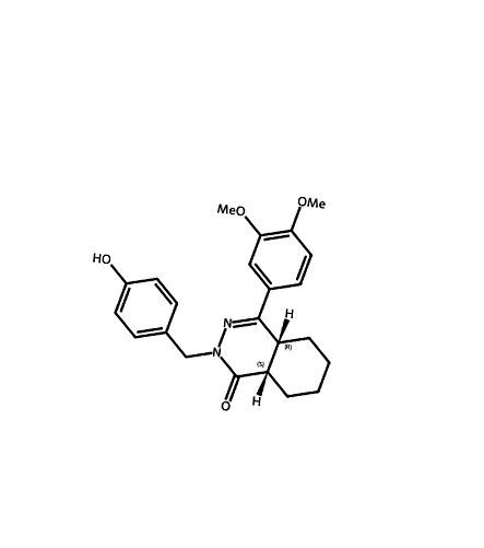 COc1ccc(C2=NN(Cc3ccc(O)cc3)C(=O)[C@H]3CCCC[C@@H]23)cc1OC